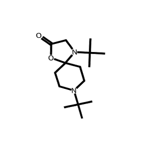 CC(C)(C)N1CCC2(CC1)OC(=O)CN2C(C)(C)C